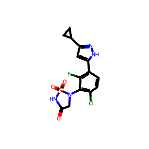 O=C1CN(c2c(Cl)ccc(-c3cc(C4CC4)n[nH]3)c2F)S(=O)(=O)N1